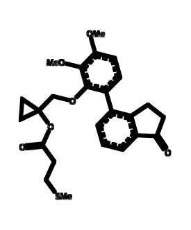 COc1ccc(-c2cccc3c2CCC3=O)c(OCC2(OC(=O)CCSC)CC2)c1OC